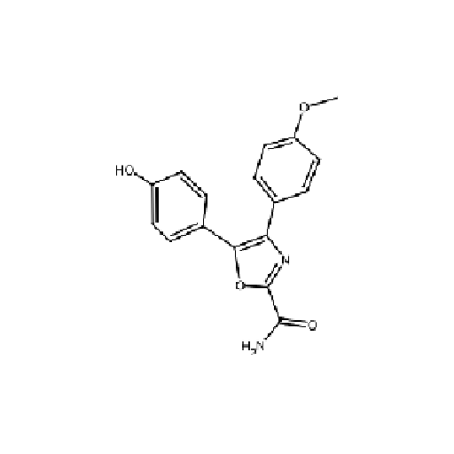 COc1ccc(-c2nc(C(N)=O)oc2-c2ccc(O)cc2)cc1